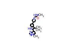 CNC(=O)CN1CCC(c2ccc3[nH]c(-c4ccc(C)n5ncnc45)c(C(C)C)c3c2)CC1